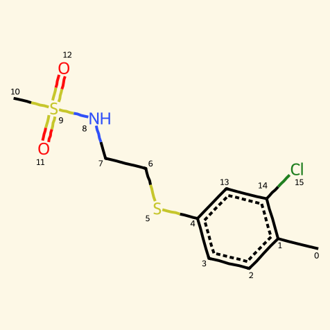 Cc1ccc(SCCNS(C)(=O)=O)cc1Cl